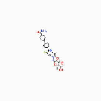 NC(=O)C1CC=C(c2ccc(-c3nc4cc(O[C@@H]5CO[C@H]6[C@@H]5OC[C@H]6O)[nH]c4cc3F)cc2)CC1